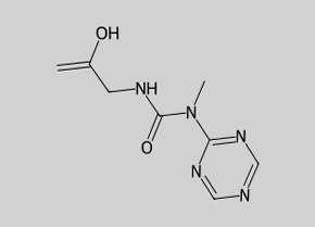 C=C(O)CNC(=O)N(C)c1ncncn1